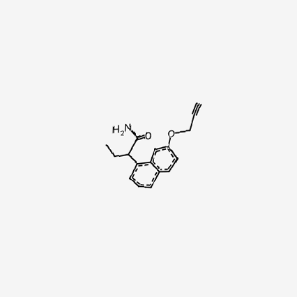 C#CCOc1ccc2cccc(C(CC)C(N)=O)c2c1